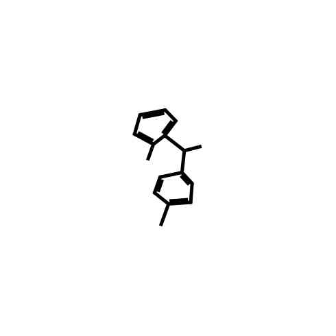 C[C](c1ccc(C)cc1)c1ccccc1C